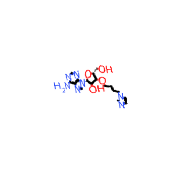 Nc1ncnc2c1ncn2[C@@H]1O[C@H](CO)C(OCCCCn2ccnc2)C1O